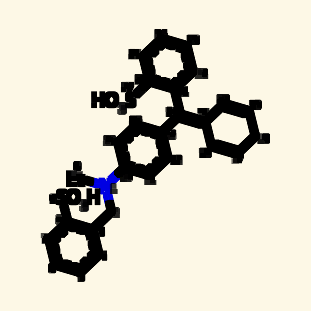 CCN(Cc1ccccc1S(=O)(=O)O)c1ccc(C(=C2C=CCC=C2)c2ccccc2S(=O)(=O)O)cc1